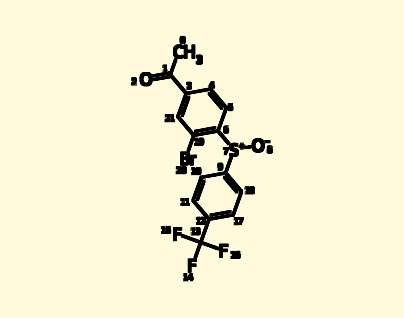 CC(=O)c1ccc([S+]([O-])c2ccc(C(F)(F)F)cc2)c(Br)c1